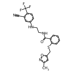 Cc1cc(CSc2ccccc2C(=O)NCCNc2ccc(C(F)(F)F)c(C#N)c2)on1